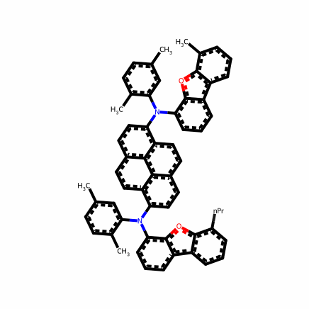 CCCc1cccc2c1oc1c(N(c3cc(C)ccc3C)c3ccc4ccc5c(N(c6cc(C)ccc6C)c6cccc7c6oc6c(C)cccc67)ccc6ccc3c4c65)cccc12